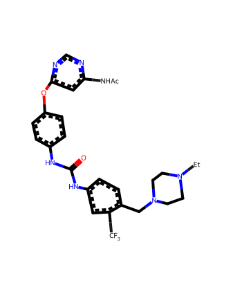 CCN1CCN(Cc2ccc(NC(=O)Nc3ccc(Oc4cc(NC(C)=O)ncn4)cc3)cc2C(F)(F)F)CC1